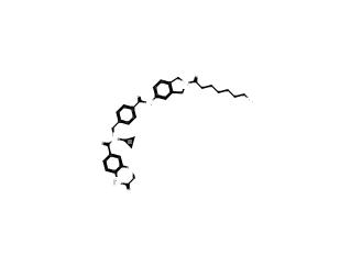 NCCCCCCC(=O)N1Cc2ccc(NC(=O)c3ccc(CN(C(=O)c4ccc5c(c4)OCC(=O)N5)C4CC4)cc3)cc2C1